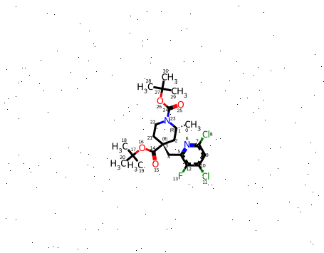 C[C@@H]1C[C@](Cc2nc(Cl)cc(Cl)c2F)(C(=O)OC(C)(C)C)CCN1C(=O)OC(C)(C)C